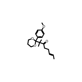 CC=CCCC(=O)C(C)(C)C1(c2ccc(OC)cc2)OCCCO1